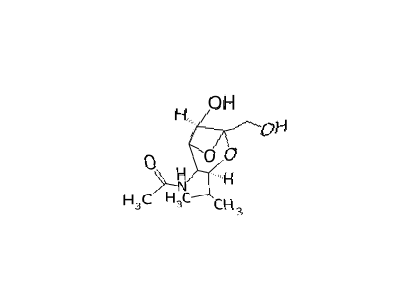 CC(=O)NC1C2OC(CO)(O[C@H]1C(C)C)[C@@H]2O